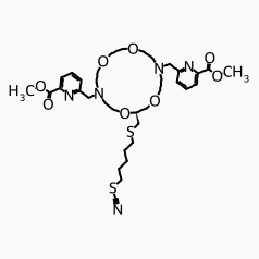 COC(=O)c1cccc(CN2CCOCCOCCN(Cc3cccc(C(=O)OC)n3)CCO[C@H](CSCCCCCSC#N)COCC2)n1